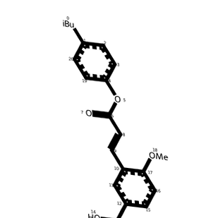 CCC(C)c1ccc(OC(=O)/C=C/c2cc(CO)ccc2OC)cc1